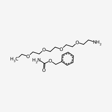 CCOCCOCCOCCOCCN.NC(=O)OCc1ccccc1